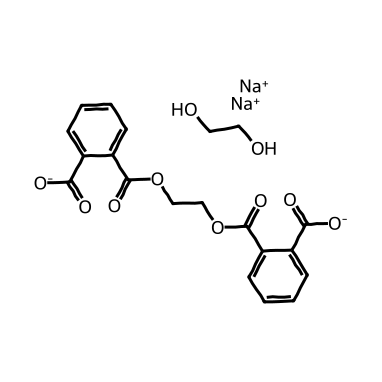 O=C([O-])c1ccccc1C(=O)OCCOC(=O)c1ccccc1C(=O)[O-].OCCO.[Na+].[Na+]